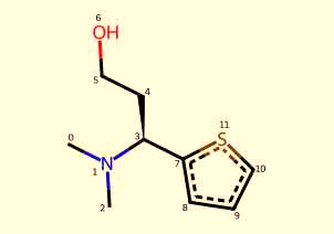 CN(C)[C@@H](CCO)c1cccs1